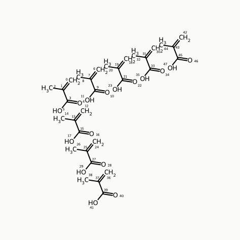 C=C(C)C(=O)O.C=C(C)C(=O)O.C=C(C)C(=O)O.C=C(C)C(=O)O.C=C(C)C(=O)O.C=C(C)C(=O)O.C=C(C)C(=O)O.C=C(C)C(=O)O